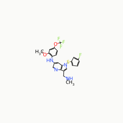 CNCc1cn(Sc2cccc(F)c2)c2cc(Nc3ccc(OC(F)(F)F)cc3OC)cnc12